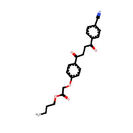 CCCCOC(=O)COc1ccc(C(=O)CCC(=O)c2ccc(C#N)cc2)cc1